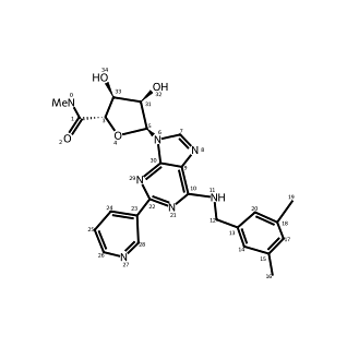 CNC(=O)[C@H]1O[C@H](n2cnc3c(NCc4cc(C)cc(C)c4)nc(-c4cccnc4)nc32)[C@H](O)[C@@H]1O